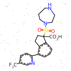 O=C(O)C1(S(=O)(=O)N2CCCNCC2)CCc2c(-c3ccc(C(F)(F)F)cn3)cccc21